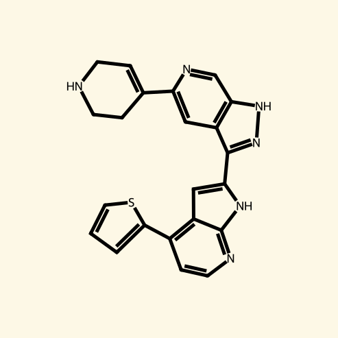 C1=C(c2cc3c(-c4cc5c(-c6cccs6)ccnc5[nH]4)n[nH]c3cn2)CCNC1